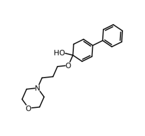 OC1(OCCCN2CCOCC2)C=CC(c2ccccc2)=CC1